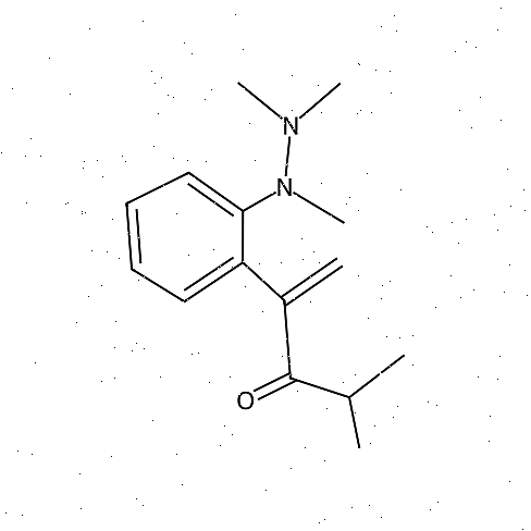 C=C(C(=O)C(C)C)c1ccccc1N(C)N(C)C